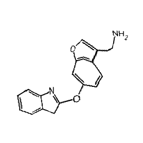 NCc1coc2cc(OC3=Nc4ccccc4C3)ccc12